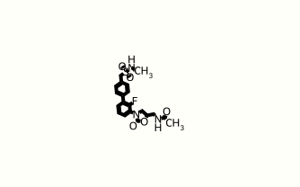 CNS(=O)(=O)Cc1ccc(-c2cccc(N3CC(CNC(C)=O)OC3=O)c2F)cc1